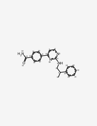 CC(CNc1nccc(-c2ccc(C(N)=O)cc2)n1)c1ccccc1